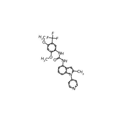 COc1cc(OC)c(C(F)(F)F)cc1NC(=O)Nc1cccc2c1cc(C)n2-c1ccncc1